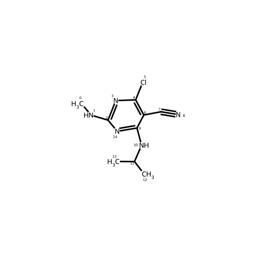 CNc1nc(Cl)c(C#N)c(NC(C)C)n1